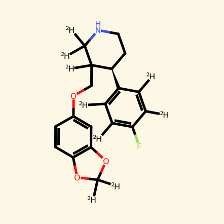 [2H]c1c([2H])c([C@@H]2CCNC([2H])([2H])C2([2H])COc2ccc3c(c2)OC([2H])([2H])O3)c([2H])c([2H])c1F